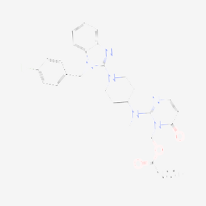 CNC(=O)OCn1c(N(C)C2CCN(c3nc4ccccc4n3Cc3ccc(F)cc3)CC2)nccc1=O